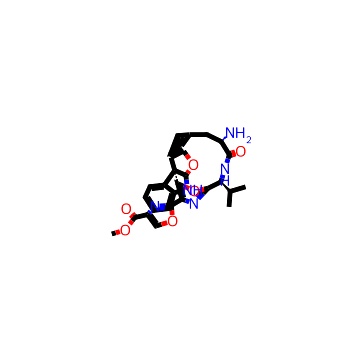 COC(=O)c1coc(-c2nc3oc2[C@@]24c5ccccc5NC2Oc2ccc(cc24)C[C@H](N)C(=O)N[C@H]3C(C)C)n1